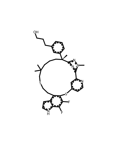 Cn1nc2nc1-c1cc(ccn1)Sc1c(F)c(F)c3[nH]ccc3c1CCSCC(C)(C)CCC[C@]2(C)c1cccc(CCCO)c1